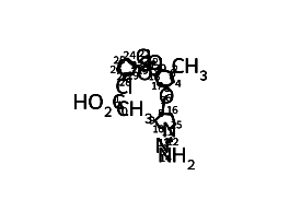 CC(=O)O.Cc1cc(OCC2CCN(C=NN)CC2)cc(OS(=O)(=O)c2cccc(Cl)c2)c1